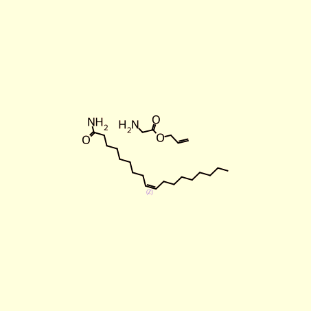 C=CCOC(=O)CN.CCCCCCCC/C=C\CCCCCCCC(N)=O